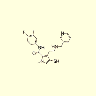 Cc1cc(NC(=O)c2c(CCNCc3cccnc3)c(S)cn2C)ccc1F